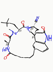 C[C@@H]1NC(=O)CCCCc2ccc3c(c2)[C@@]2(C[C@@H](C#N)N(C2)C(=O)[C@H](CC(C)(C)C)N(C)C1=O)C(=O)N3